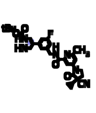 Cc1cc(N2CCC(C#N)(C3CC3)C2=O)cc(C(=O)NCc2cc(F)cc(/C(C=N)=C/NC(=O)OC(C)(C)C)c2)n1